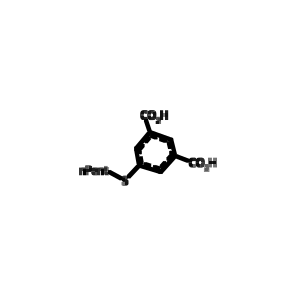 CCCCCSc1cc(C(=O)O)cc(C(=O)O)c1